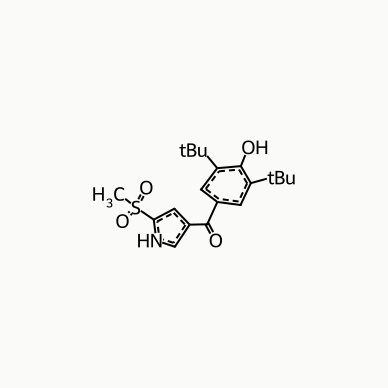 CC(C)(C)c1cc(C(=O)c2c[nH]c(S(C)(=O)=O)c2)cc(C(C)(C)C)c1O